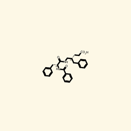 O=C(O)CC[C@@H](CNC(=O)[C@@H](Cc1ccccc1)NC(=O)c1ccccc1)Cc1ccccc1